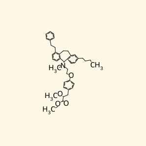 CCCCc1ccc2c(c1)CCc1c(CCc3ccccc3)cccc1C2N(C)CCOc1ccc(CC(OC)C(=O)OCC)cc1